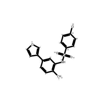 Cc1ccc(-c2ccoc2)cc1NS(=O)(=O)c1ccc(Cl)cc1